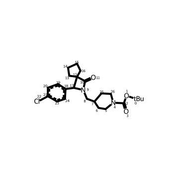 CC(C)(C)OC(=O)N1CCC(CN2C(=O)C3(CCCC3)C2c2ccc(Cl)cc2)CC1